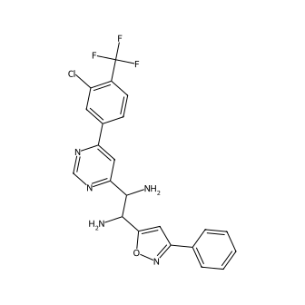 NC(c1cc(-c2ccc(C(F)(F)F)c(Cl)c2)ncn1)C(N)c1cc(-c2ccccc2)no1